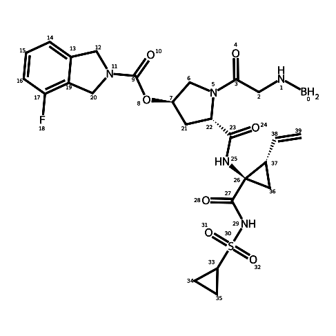 BNCC(=O)N1C[C@H](OC(=O)N2Cc3cccc(F)c3C2)C[C@H]1C(=O)N[C@]1(C(=O)NS(=O)(=O)C2CC2)C[C@H]1C=C